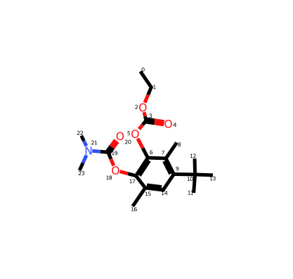 CCOC(=O)Oc1c(C)c(C(C)(C)C)cc(C)c1OC(=O)N(C)C